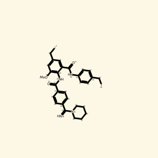 COc1cc(CI)cc(C(=O)Nc2ccc(CI)cc2)c1NC(=O)c1ccc(C(=N)N2CCCCC2)cc1